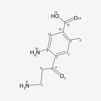 Cc1cc(C(=O)CCN)c(N)cc1C(=O)O